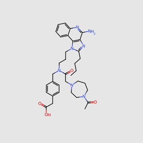 CCCCc1nc2c(N)nc3ccccc3c2n1CCCN(Cc1ccc(CC(=O)O)cc1)C(=O)CN1CCCN(C(C)=O)CC1